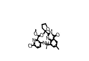 COC(=O)c1nc(Cl)ccc1N[C@H](C)c1cc(C)cc2c(=O)n(C)c(C3(C)CCCO3)nc12